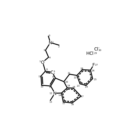 CN(C)CCOC1=[C+]C2=C(C=C1)N(C)c1ccccc1C2Cc1cccc(F)c1.Cl.[Cl-]